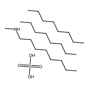 CCCCCCCC.CCCCCCCC.CCCCCCCCNC.O=S(=O)(O)O